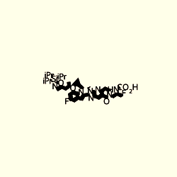 CC(Cc1cnc([Si](C(C)C)(C(C)C)C(C)C)o1)Oc1cc(F)cc2cc(-c3nc4cc5c(nc4n3C)CCN(CC(CF)NC(=O)O)C5=O)n(CC3CC3)c12